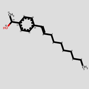 CCCCCCCCC=Cc1ccc(C(C)O)cc1